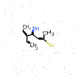 C=C/C(=C/C)C(=N)/C=C(\C)S